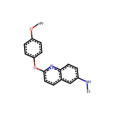 CCCOc1ccc(Oc2ccc3cc(NCC)ccc3n2)cc1